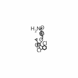 NC(=O)C12CCC(COCc3c(-c4c(Cl)cccc4Cl)noc3C3CC3)(CC1)CC2